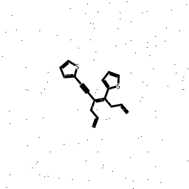 C=CCC(C#Cc1cccs1)=C(CC=C)c1cccs1